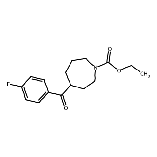 CCOC(=O)N1CCCC(C(=O)c2ccc(F)cc2)CC1